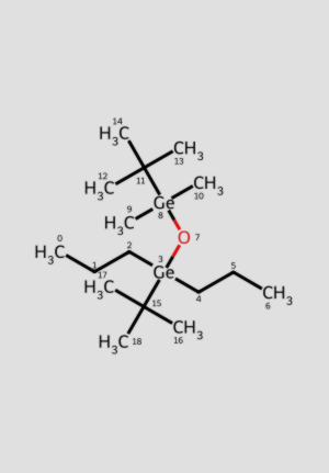 CC[CH2][Ge]([CH2]CC)([O][Ge]([CH3])([CH3])[C](C)(C)C)[C](C)(C)C